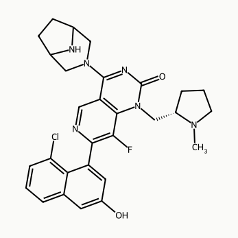 CN1CCC[C@H]1Cn1c(=O)nc(N2CC3CCC(C2)N3)c2cnc(-c3cc(O)cc4cccc(Cl)c34)c(F)c21